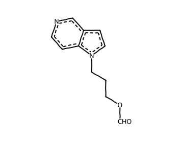 O=COCCCn1ccc2cnccc21